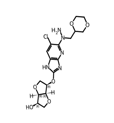 NN(CC1COCCO1)c1nc2nc(O[C@@H]3CO[C@H]4[C@@H]3OC[C@H]4O)[nH]c2cc1Cl